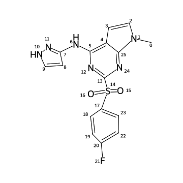 Cn1ccc2c(Nc3cc[nH]n3)nc(S(=O)(=O)c3ccc(F)cc3)nc21